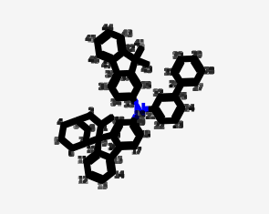 CC1CC2CCCC(C2)C12c1ccccc1-c1ccc(N(c3cccc(-c4ccccc4)c3)c3ccc4c(c3)C(C)(C)c3ccccc3-4)cc12